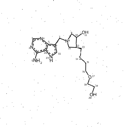 Nc1ncnc2c(CN3CC(O)[C@@H](CSCCOCCO)C3)c[nH]c12